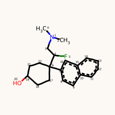 CN(C)CC(F)C1(c2ccc3ccccc3c2)CCC(O)CC1